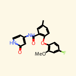 COc1cc(F)ccc1Oc1ccc(C)cc1C(=O)Nc1cc[nH]c(=O)c1